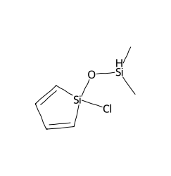 C[SiH](C)O[Si]1(Cl)C=CC=C1